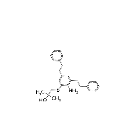 CC(C)(O)CSc1cc(CCc2ccccc2)cc(CCc2ccccc2)c1N